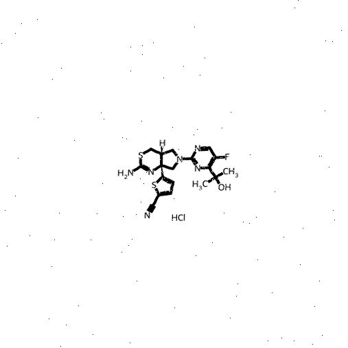 CC(C)(O)c1nc(N2C[C@H]3CSC(N)=N[C@@]3(c3ccc(C#N)s3)C2)ncc1F.Cl